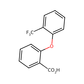 O=C(O)c1ccccc1Oc1ccccc1C(F)(F)F